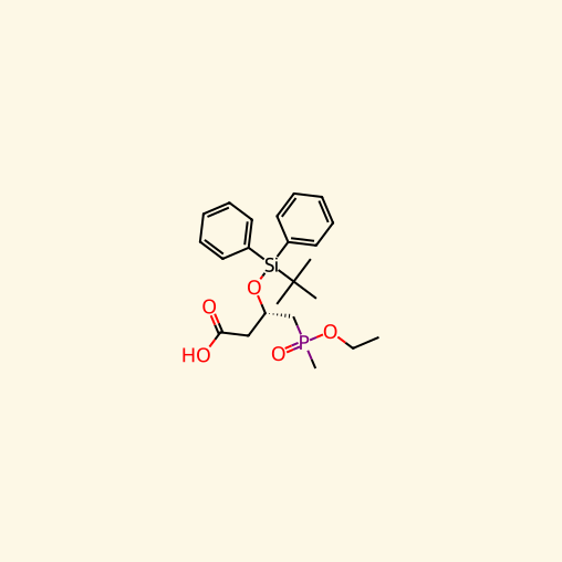 CCOP(C)(=O)C[C@H](CC(=O)O)O[Si](c1ccccc1)(c1ccccc1)C(C)(C)C